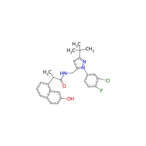 CC(C(=O)NCc1cc(C(C)(C)C)nn1-c1ccc(F)c(Cl)c1)c1cccc2ccc(O)cc12